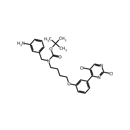 CC(C)(C)OC(=O)N(CCCCOc1cccc(-c2nc(Cl)ncc2Cl)c1)Cc1cccc(N)c1